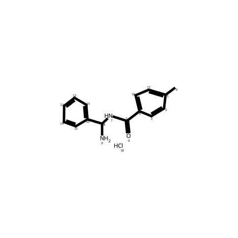 Cc1ccc(C(=O)NC(N)c2ccccc2)cc1.Cl